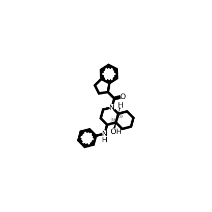 O=C(C1CCc2ccccc21)N1CCC(Nc2ccccc2)[C@@]2(O)CCCC[C@H]12